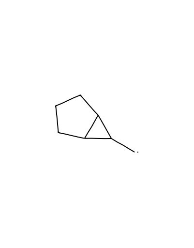 [CH2]C1C2CCCC12